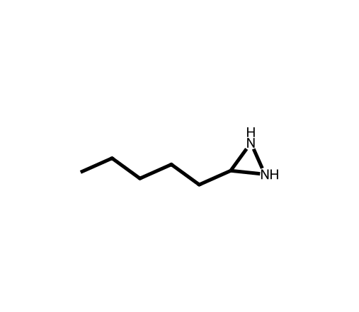 CCCCCC1NN1